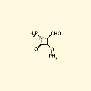 O=C[C@H]1[C@@H](OP)C(=O)N1P